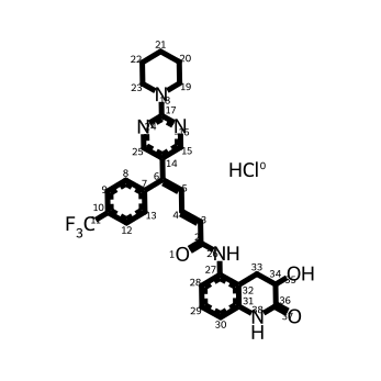 Cl.O=C(/C=C/C=C(\c1ccc(C(F)(F)F)cc1)c1cnc(N2CCCCC2)nc1)Nc1cccc2c1CC(O)C(=O)N2